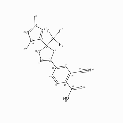 Cc1cc(C2(C(F)(F)F)CC(c3ccc(C(=O)O)c(C#N)c3)=NO2)n(C)n1